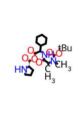 CC(C(=O)NC(C(=O)OC(=O)[C@@H]1CCCN1)C1CCCCC1)N(C)C(=O)OC(C)(C)C